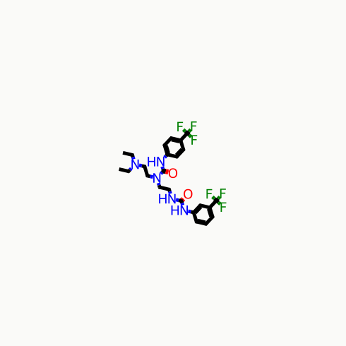 CCN(CC)CCN(CCNC(=O)Nc1cccc(C(F)(F)F)c1)C(=O)Nc1ccc(C(F)(F)F)cc1